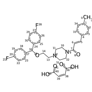 Cc1ccc(/C=C/C(=O)N2CCN(CCOC(c3ccc(F)cc3)c3ccc(F)cc3)CC2)cc1.O=C(O)/C=C\C(=O)O